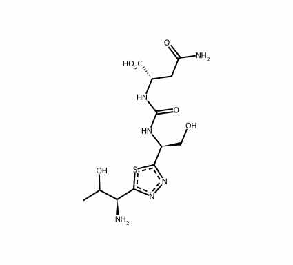 CC(O)[C@H](N)c1nnc([C@H](CO)NC(=O)N[C@@H](CC(N)=O)C(=O)O)s1